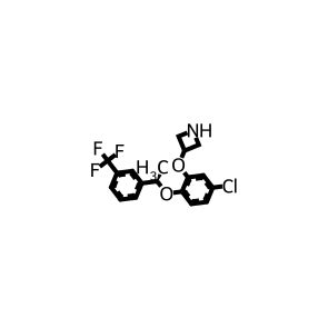 C[C@@H](Oc1ccc(Cl)cc1OC1CNC1)c1cccc(C(F)(F)F)c1